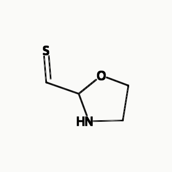 S=CC1NCCO1